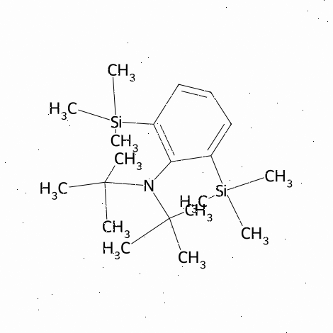 CC(C)(C)N(c1c([Si](C)(C)C)cccc1[Si](C)(C)C)C(C)(C)C